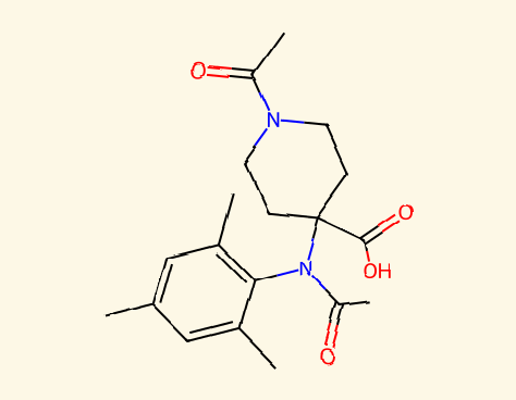 CC(=O)N1CCC(C(=O)O)(N(C(C)=O)c2c(C)cc(C)cc2C)CC1